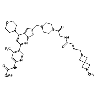 COC(=O)Nc1cc(C(F)(F)F)c(-c2nc(N3CCOCC3)c3cc(CN4CCN(C(=O)CNC(=O)/C=C/CN5CC6(CN(C)C6)C5)CC4)cn3n2)cn1